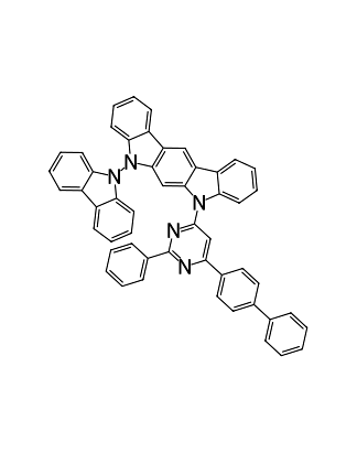 c1ccc(-c2ccc(-c3cc(-n4c5ccccc5c5cc6c7ccccc7n(-n7c8ccccc8c8ccccc87)c6cc54)nc(-c4ccccc4)n3)cc2)cc1